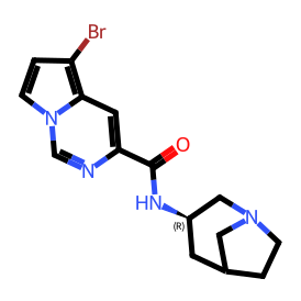 O=C(N[C@@H]1CC2CCN(C2)C1)c1cc2c(Br)ccn2cn1